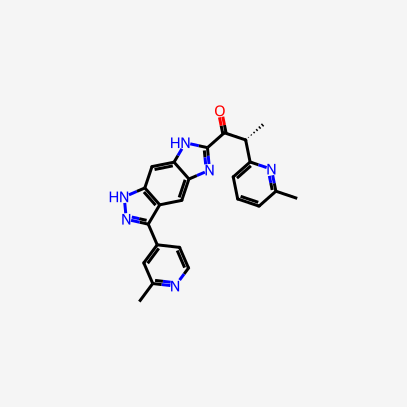 Cc1cc(-c2n[nH]c3cc4[nH]c(C(=O)[C@H](C)c5cccc(C)n5)nc4cc23)ccn1